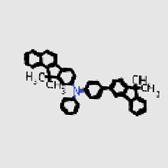 CC1(C)c2ccccc2-c2cc(-c3ccc(N(c4ccccc4)c4ccc5c(c4)C(C)(C)c4c-5ccc5ccccc45)cc3)ccc21